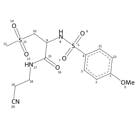 COc1ccc(S(=O)(=O)NC(CS(C)(=O)=O)C(=O)NCCC#N)cc1